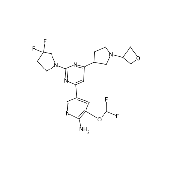 Nc1ncc(-c2cc(C3CCN(C4COC4)C3)nc(N3CCC(F)(F)C3)n2)cc1OC(F)F